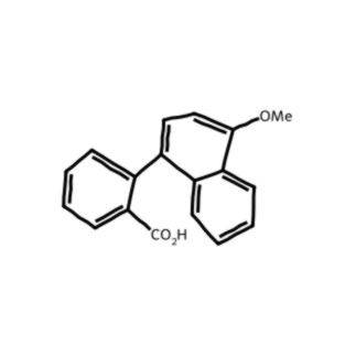 COc1ccc(-c2ccccc2C(=O)O)c2ccccc12